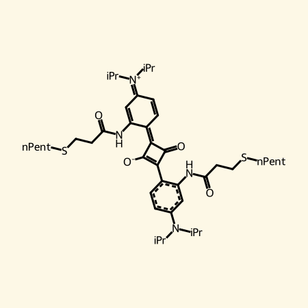 CCCCCSCCC(=O)NC1=CC(=[N+](C(C)C)C(C)C)C=C/C1=C1\C(=O)C(c2ccc(N(C(C)C)C(C)C)cc2NC(=O)CCSCCCCC)=C1[O-]